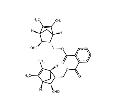 CC1=C(C)[C@@H]2C[C@H]1[C@H](COC(=O)c1ccccc1C(=O)OC[C@@H]1[C@@H](C=O)[C@H]3C[C@@H]1C(C)=C3C)[C@H]2C=O